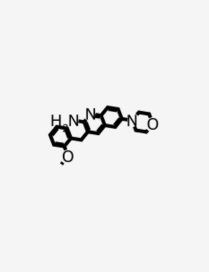 COc1ccccc1Cc1cc2cc(N3CCOCC3)ccc2nc1N